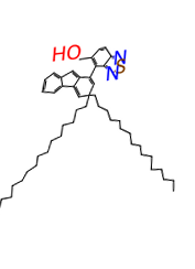 CCCCCCCCCCCCCCCCC1(CCCCCCCCCCCCCCCC)C=C2C(=Cc3ccccc32)C(c2c(CO)ccc3nsnc23)=C1